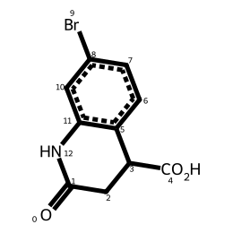 O=C1CC(C(=O)O)c2ccc(Br)cc2N1